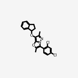 Cc1nn2c(-c3ccc(Cl)cc3Cl)c(C)oc2c1OC1CCc2ccccc21